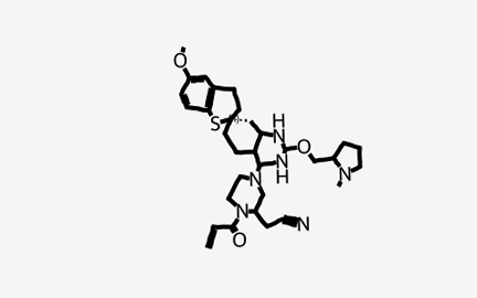 C=CC(=O)N1CCN(C2NC(OCC3CCCN3C)NC3C[C@]4(CCc5cc(OC)ccc5S4)CCC32)CC1CC#N